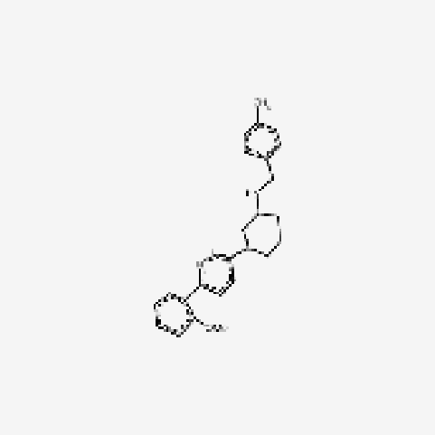 COc1ccccc1-c1ccc(N2CCCC(NCc3ccc(C)cc3)C2)nn1